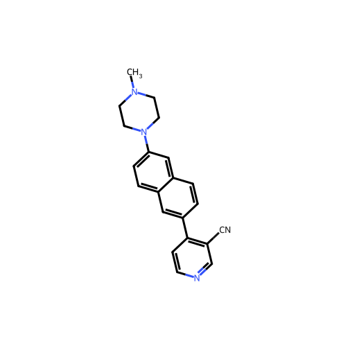 CN1CCN(c2ccc3cc(-c4ccncc4C#N)ccc3c2)CC1